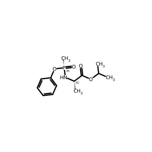 CC(C)OC(=O)[C@H](C)N[P@](C)(=O)Oc1ccccc1